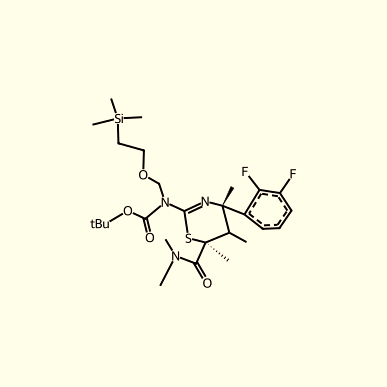 CC1[C@@](C)(C(=O)N(C)C)SC(N(COCC[Si](C)(C)C)C(=O)OC(C)(C)C)=N[C@]1(C)c1cccc(F)c1F